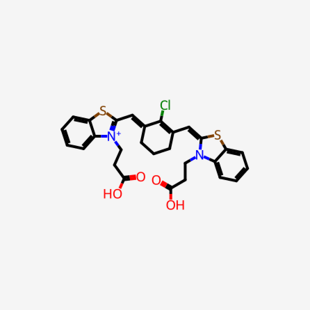 O=C(O)CCN1/C(=C\C2=C(Cl)C(=C/c3sc4ccccc4[n+]3CCC(=O)O)/CCC2)Sc2ccccc21